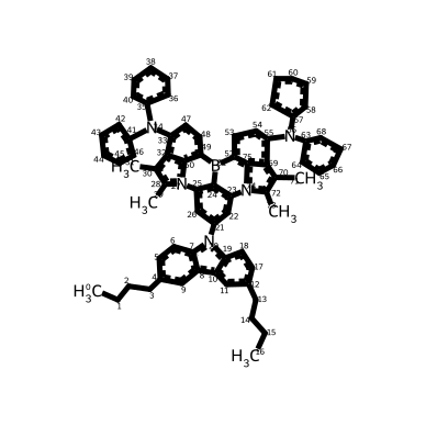 CCCCc1ccc2c(c1)c1cc(CCCC)ccc1n2-c1cc2c3c(c1)-n1c(C)c(C)c4c(N(c5ccccc5)c5ccccc5)ccc(c41)B3c1ccc(N(c3ccccc3)c3ccccc3)c3c(C)c(C)n-2c13